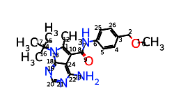 COCc1ccc(NC(=O)c2c(C)n(C(C)(C)C)c3ncnc(N)c23)cc1